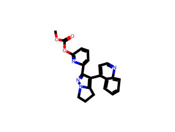 COC(=O)Oc1cccc(-c2nn3c(c2-c2ccnc4ccccc24)CCC3)n1